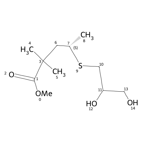 COC(=O)C(C)(C)C[C@H](C)SCC(O)CO